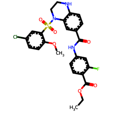 CCOC(=O)c1ccc(NC(=O)c2ccc3c(c2)N(S(=O)(=O)c2cc(Cl)ccc2OC)CCN3)cc1F